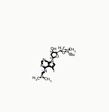 CN(C)/C=N/c1ncnc2c1c(I)cn2[C@H]1C[C@@H](O)[C@@H](CO[Si](C)(C)C(C)(C)C)O1